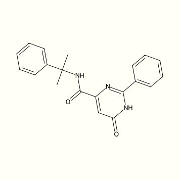 CC(C)(NC(=O)c1cc(=O)[nH]c(-c2ccccc2)n1)c1ccccc1